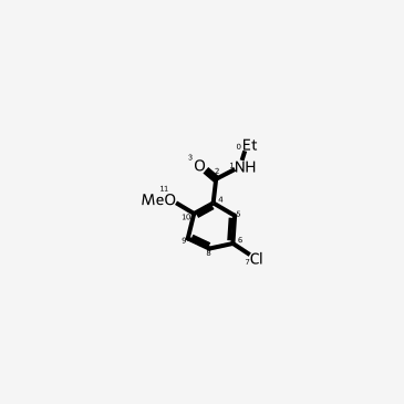 [CH2]CNC(=O)c1cc(Cl)ccc1OC